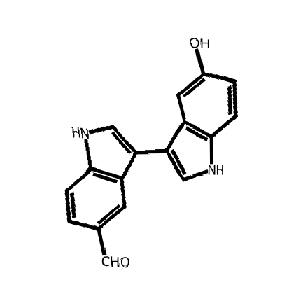 O=Cc1ccc2[nH]cc(-c3c[nH]c4ccc(O)cc34)c2c1